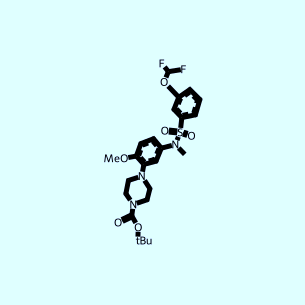 COc1ccc(N(C)S(=O)(=O)c2cccc(OC(F)F)c2)cc1N1CCN(C(=O)OC(C)(C)C)CC1